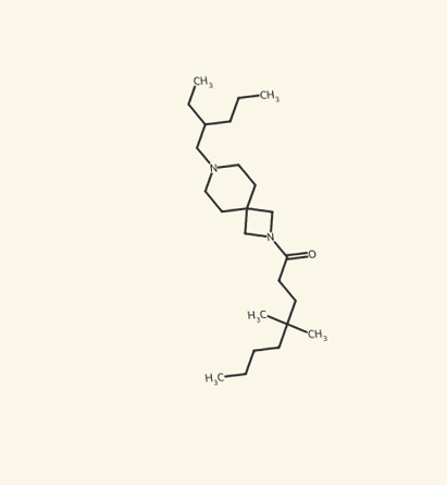 CCCCC(C)(C)CCC(=O)N1CC2(CCN(CC(CC)CCC)CC2)C1